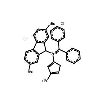 CCCC1=CC[C]([Zr+2](=[C](c2ccccc2)c2ccccc2)[CH]2c3cc(C(C)(C)C)ccc3-c3ccc(C(C)(C)C)cc32)=C1.[Cl-].[Cl-]